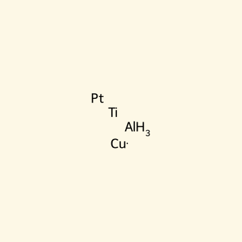 [AlH3].[Cu].[Pt].[Ti]